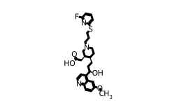 COc1ccc2nccc([C@H](O)CC[C@@H]3CCN(CCCSc4cccc(F)n4)C[C@@H]3CC(=O)O)c2c1